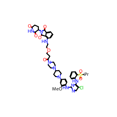 COc1cc(N2CCC(N3CCN(C(=O)CCOCCNc4cccc5c4C(=O)N(C4CCC(=O)NC4=O)C5=O)CC3)CC2)ccc1Nc1ncc(Cl)c(Nc2ccccc2S(=O)(=O)C(C)C)n1